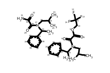 CC(C)CN(C(=O)C(=O)OCC(F)(F)F)C(C)c1ccccc1.CC(C)CN(C(=O)C(N)=O)C(C)c1ccccc1